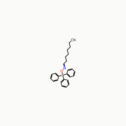 N#CCCCCCCC=NO[Si](c1ccccc1)(c1ccccc1)c1ccccc1